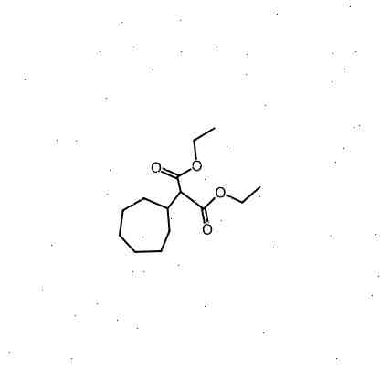 CCOC(=O)C(C(=O)OCC)C1CCCCCC1